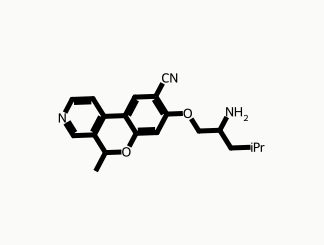 CC(C)CC(N)COc1cc2c(cc1C#N)-c1ccncc1C(C)O2